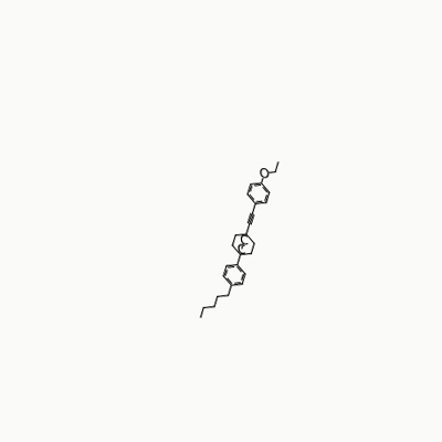 CCCCCc1ccc(C23CCC(C#Cc4ccc(OCC)cc4)(CC2)CC3)cc1